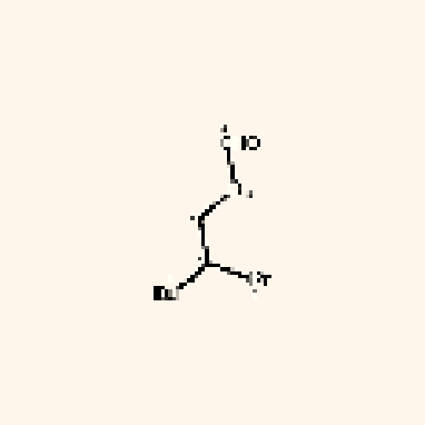 CCC(C)C(CO[C]=O)C(C)C